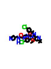 CCOc1cc(C(C)(C)C)ncc1/C(=N/C(C)(C)C1C=CC(Cl)=CC1)N(Cc1ccc(Cl)cc1)C(=O)N1CCN(CC(=O)NCc2ccncc2)CC1